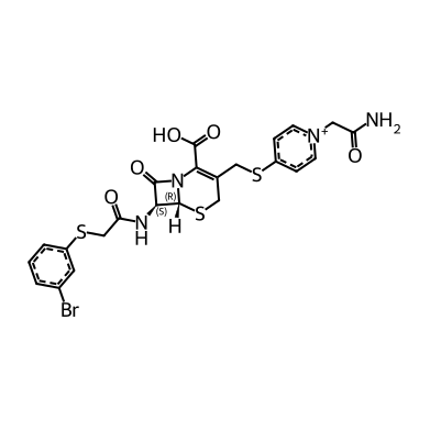 NC(=O)C[n+]1ccc(SCC2=C(C(=O)O)N3C(=O)[C@H](NC(=O)CSc4cccc(Br)c4)[C@H]3SC2)cc1